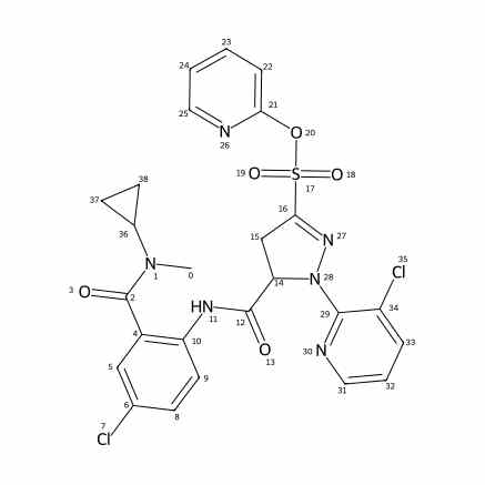 CN(C(=O)c1cc(Cl)ccc1NC(=O)C1CC(S(=O)(=O)Oc2ccccn2)=NN1c1ncccc1Cl)C1CC1